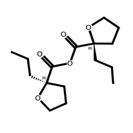 CCC[C@]1(C(=O)OC(=O)[C@@]2(CCC)CCCO2)CCCO1